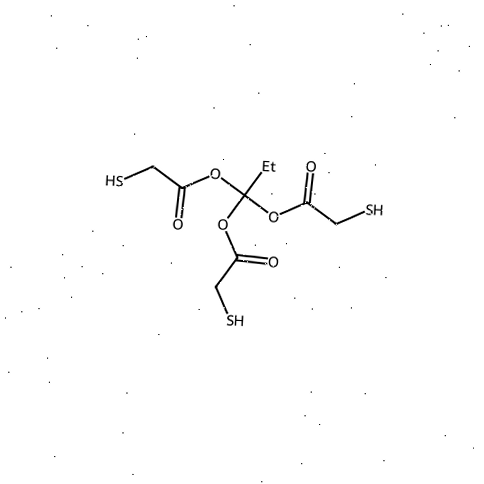 CCC(OC(=O)CS)(OC(=O)CS)OC(=O)CS